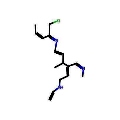 C=CNCC=C(/C=N\C)C(C)C=C/N=C(\C=C/C)CCl